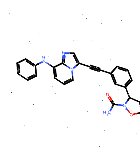 NC(=O)N1OCCC1c1cccc(C#Cc2cnc3c(Nc4ccccc4)cccn23)c1